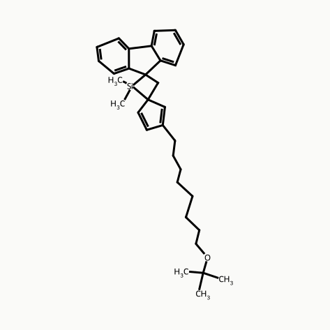 CC(C)(C)OCCCCCCCCC1=CC2(C=C1)CC1(c3ccccc3-c3ccccc31)[Si]2(C)C